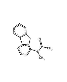 CC(=O)N(C)c1cccc2c1Cc1ccccc1-2